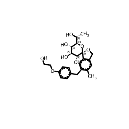 Cc1cc2c(cc1Cc1ccc(OCCO)cc1)[C@]1(OC2)O[C@H]([C@@H](C)O)[C@@H](O)[C@H](O)[C@H]1O